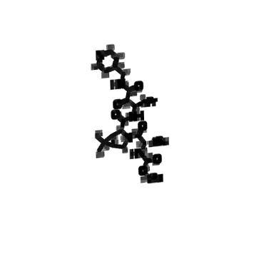 CCC[C@@H](NC(=O)[C@@H]1C2C(CN1C(=O)[C@@H](NC(=O)OC(C)(C)C)C(C)(C)C)C2(C)C)C(=O)C(=O)NCc1ccncc1